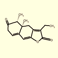 CCC1=C2C[C@@]3(C)C(=CCC(=O)[C@@H]3C)C=C2OC1=O